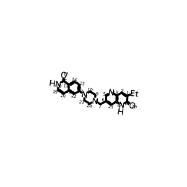 CCc1cc2ncc(CN3CCN(c4ccc5c(=O)[nH]ccc5c4)CC3)cc2[nH]c1=O